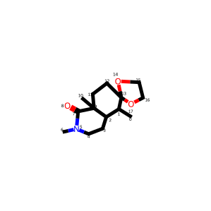 CC1C2CCN(C)C(=O)C2(C)CCC12OCCO2